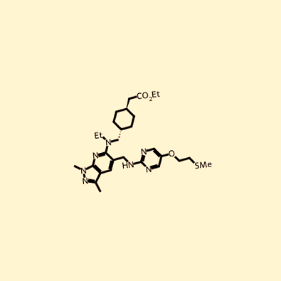 CCOC(=O)C[C@H]1CC[C@H](CN(CC)c2nc3c(cc2CNc2ncc(OCCSC)cn2)c(C)nn3C)CC1